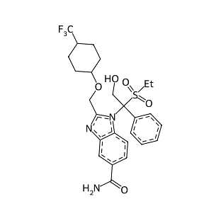 CCS(=O)(=O)C(CO)(c1ccccc1)n1c(COC2CCC(C(F)(F)F)CC2)nc2cc(C(N)=O)ccc21